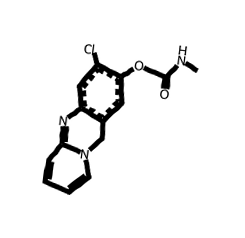 CNC(=O)Oc1cc2c(cc1Cl)N=C1C=CC=CN1C2